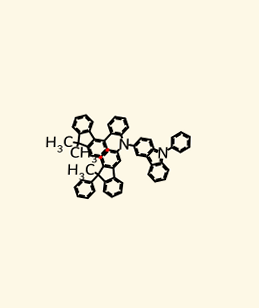 CC1(C)c2ccccc2-c2c(-c3ccccc3N(c3ccc4c(c3)-c3ccccc3C4(C)c3ccccc3)c3ccc4c(c3)c3ccccc3n4-c3ccccc3)cccc21